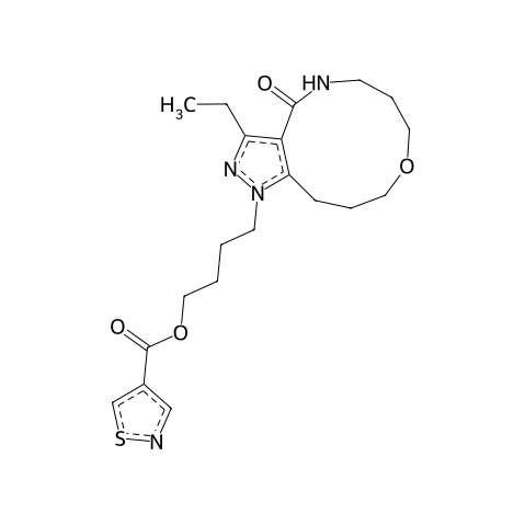 CCc1nn(CCCCOC(=O)c2cnsc2)c2c1C(=O)NCCCOCCC2